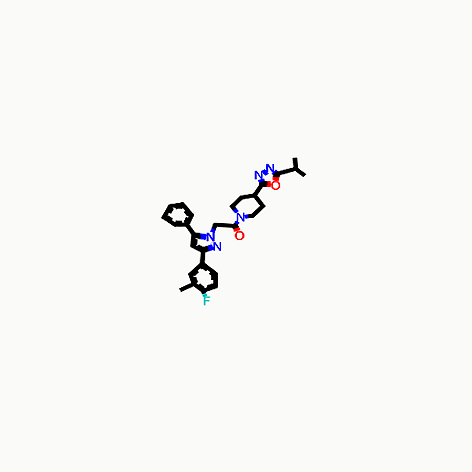 Cc1cc(-c2cc(-c3ccccc3)n(CC(=O)N3CCC(c4nnc(C(C)C)o4)CC3)n2)ccc1F